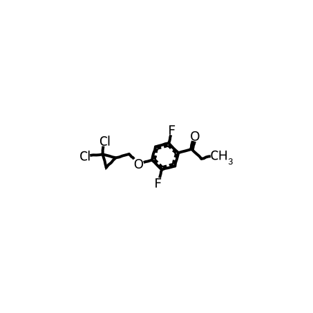 CCC(=O)c1cc(F)c(OCC2CC2(Cl)Cl)cc1F